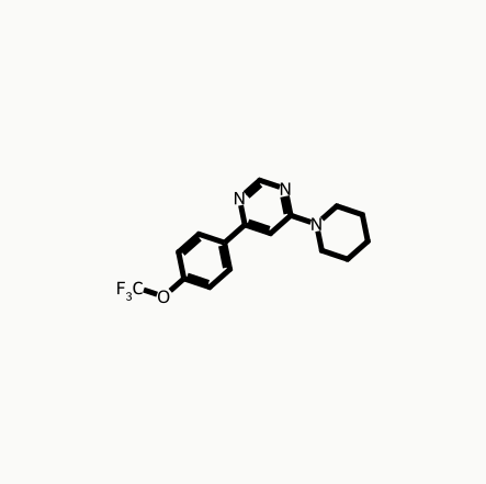 FC(F)(F)Oc1ccc(-c2cc(N3CCCCC3)ncn2)cc1